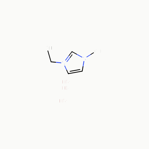 Br.Br.Br.CC[n+]1ccn(C)c1